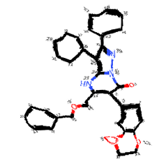 O=c1c(-c2ccc3c(c2)OCCO3)c(COCc2ccccc2)[nH]c2c(C3=CCCCC3)c(-c3ccccc3)nn12